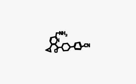 N#Cc1ccc(C2CCC(C(=O)c3nc(CN)ccc3C3CC3)CC2)cc1